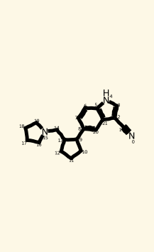 N#Cc1c[nH]c2ccc(C3CCCC3CN3CCCC3)cc12